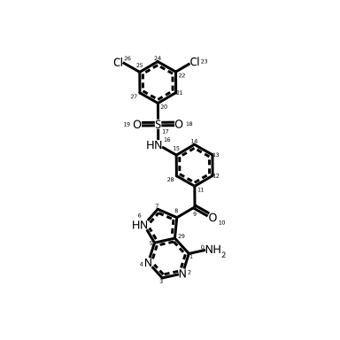 Nc1ncnc2[nH]cc(C(=O)c3cccc(NS(=O)(=O)c4cc(Cl)cc(Cl)c4)c3)c12